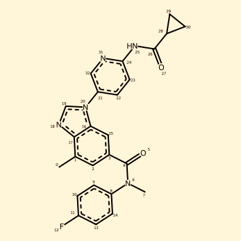 Cc1cc(C(=O)N(C)c2ccc(F)cc2)cc2c1ncn2-c1ccc(NC(=O)C2CC2)nc1